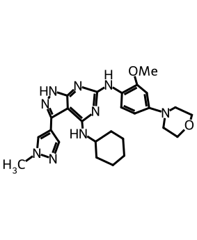 COc1cc(N2CCOCC2)ccc1Nc1nc(NC2CCCCC2)c2c(-c3cnn(C)c3)n[nH]c2n1